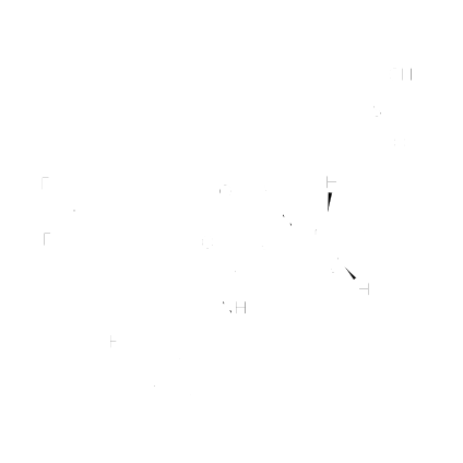 C[S+]([O-])c1cccc(C(=O)N2[C@@H](C(=O)NC(c3ccc(C(F)(F)F)cc3F)C3CC3)C[C@H]3C[C@H]32)c1